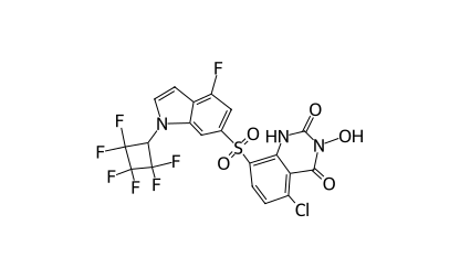 O=c1[nH]c2c(S(=O)(=O)c3cc(F)c4ccn(C5C(F)(F)C(F)(F)C5(F)F)c4c3)ccc(Cl)c2c(=O)n1O